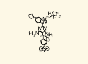 CC1(c2ccc(S(C)(=O)=O)cc2)C(=O)Nc2nc(-c3nn(CCC(F)(F)C(F)(F)F)c4cc(Cl)ccc34)nc(N)c21